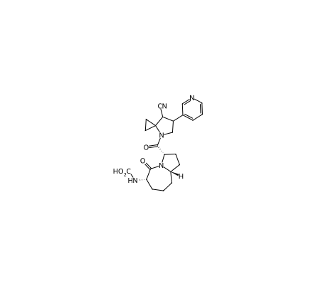 N#CC1C(c2cccnc2)CN(C(=O)[C@@H]2CC[C@@H]3CCC[C@H](NC(=O)O)C(=O)N32)C12CC2